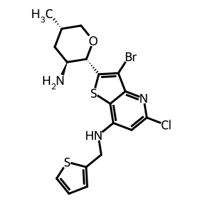 C[C@@H]1CO[C@H](c2sc3c(NCc4cccs4)cc(Cl)nc3c2Br)[C@@H](N)C1